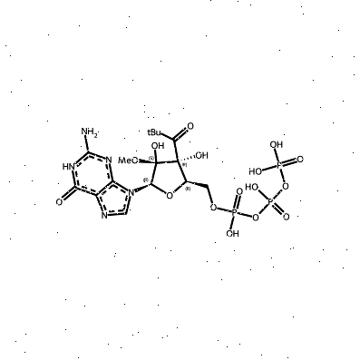 CO[C@]1(O)[C@H](n2cnc3c(=O)[nH]c(N)nc32)O[C@H](COP(=O)(O)OP(=O)(O)OP(=O)(O)O)[C@]1(O)C(=O)C(C)(C)C